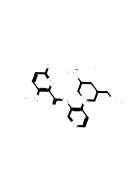 Nc1ccc(Br)nc1C(=O)Nc1cnccc1N1CC(CO)CC(NC(=O)O)C1